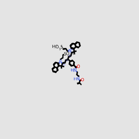 C=C(C)C(=O)NCCCNC(=O)c1ccc(C(=C\C=C2/N(CCCS(=O)(=O)O)c3ccc4ccccc4c3C2(C)C)/C=C/C2=[N+](CCCS(=O)(=O)O)c3ccc4ccccc4c3C2(C)C)cc1